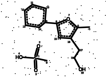 CS(=O)(=O)O.Cc1oc(-c2ccccc2)nc1CCO